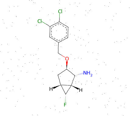 N[C@@H]1[C@@H]2[C@H](F)[C@@H]2C[C@H]1OCc1ccc(Cl)c(Cl)c1